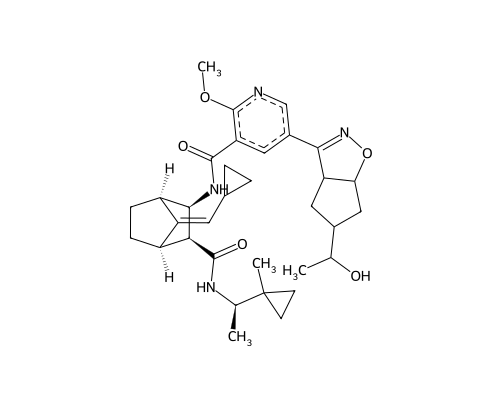 COc1ncc(C2=NOC3CC(C(C)O)CC23)cc1C(=O)N[C@H]1[C@@H](C(=O)N[C@H](C)C2(C)CC2)[C@H]2CC[C@@H]1/C2=C\C1CC1